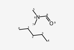 CCCCC.CN(C)C=O